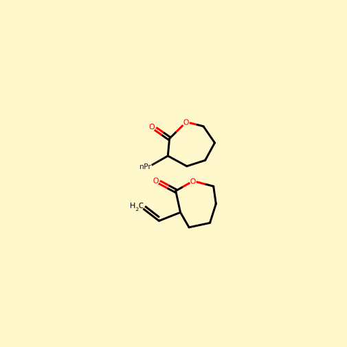 C=CC1CCCCOC1=O.CCCC1CCCCOC1=O